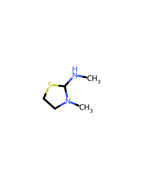 CNC1SCCN1C